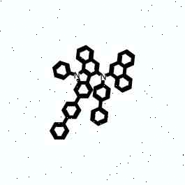 c1ccc(-c2ccc(-c3ccc4c5c(N(c6ccc(-c7ccccc7)cc6)c6cc7ccccc7c7ccccc67)cc6ccccc6c5n(-c5ccccc5)c4c3)cc2)cc1